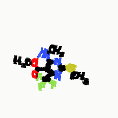 CNc1nc(SC)nc(C(F)(F)F)c1C(=O)OC